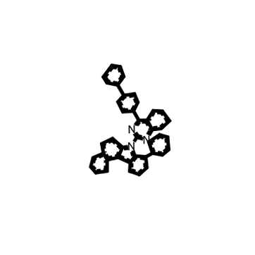 c1ccc(-c2ccc(-c3nc(-n4c5ccc6ccccc6c5c5cccc(-c6ccccc6)c54)nc4ccccc34)cc2)cc1